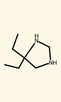 CCC1(CC)CN[CH]N1